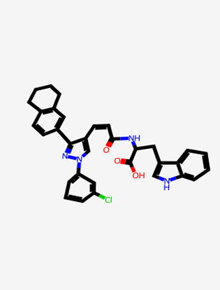 O=C(/C=C\c1cn(-c2cccc(Cl)c2)nc1-c1ccc2c(c1)CCCC2)NC(Cc1c[nH]c2ccccc12)C(=O)O